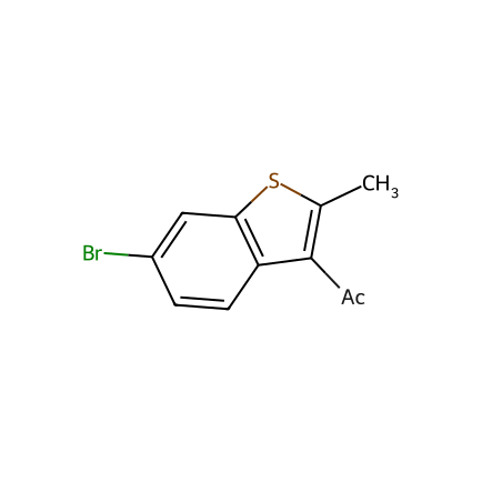 CC(=O)c1c(C)sc2cc(Br)ccc12